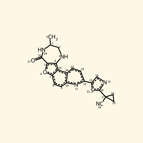 CC1CNc2c(oc3ccc4nc(-c5cnc(C6(C#N)CC6)s5)ccc4c23)C(=O)N1